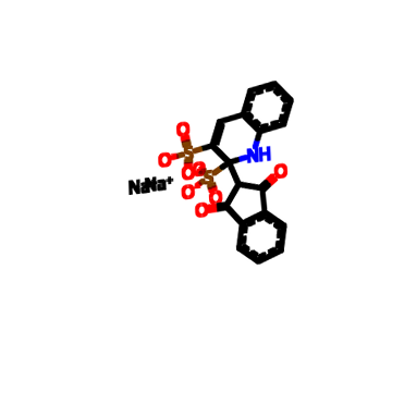 O=C1c2ccccc2C(=O)C1C1(S(=O)(=O)[O-])Nc2ccccc2C=C1S(=O)(=O)[O-].[Na+].[Na+]